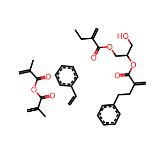 C=C(C)C(=O)OC(=O)C(=C)C.C=C(CC)C(=O)OCC(CO)OC(=O)C(=C)CCc1ccccc1.C=Cc1ccccc1